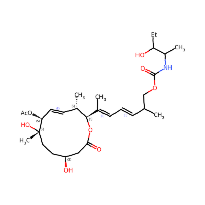 CCC(O)C(C)NC(=O)OCC(C)/C=C/C=C(\C)[C@H]1OC(=O)C[C@@H](O)CC[C@](C)(O)[C@@H](OC(C)=O)/C=C/[C@@H]1C